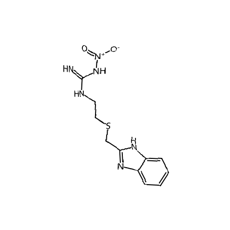 N=C(NCCSCc1nc2ccccc2[nH]1)N[N+](=O)[O-]